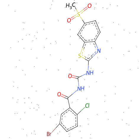 CS(=O)(=O)c1ccc2nc(NC(=O)NC(=O)c3cc(Br)ccc3Cl)sc2c1